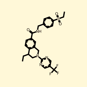 CCC1CN(c2ncc(C(F)(F)F)cn2)Cc2cc(C(=O)NCc3ccc(S(=O)(=O)CC)cc3)ccc21